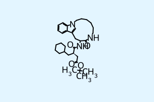 CC(C)(C)OC(=O)C[C@@H](CC1CCCCC1)C(=O)NC1Cc2cn(c3ccccc23)CCCCCCNC1=O